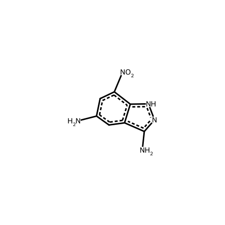 Nc1cc([N+](=O)[O-])c2[nH]nc(N)c2c1